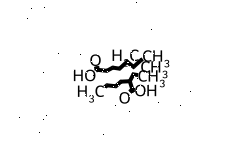 CC(C)(C)CCCCCC(=O)O.CCCCC(CC)C(=O)O